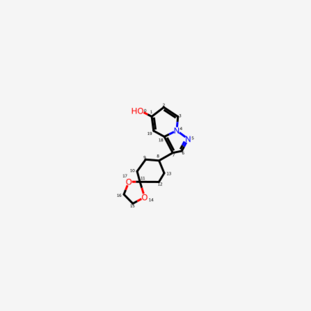 Oc1ccn2ncc(C3CCC4(CC3)OCCO4)c2c1